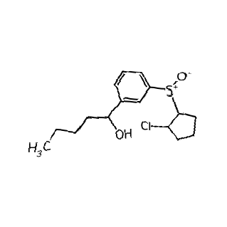 CCCCC(O)c1cccc([S+]([O-])C2CCCC2Cl)c1